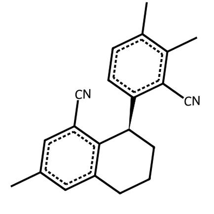 Cc1cc(C#N)c2c(c1)CCC[C@@H]2c1ccc(C)c(C)c1C#N